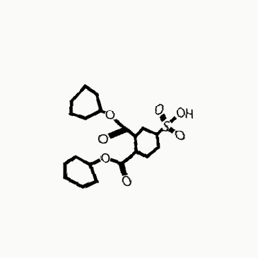 O=C(OC1CCCCC1)C1CCC(S(=O)(=O)O)CC1C(=O)OC1CCCCC1